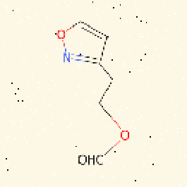 O=COCCc1ccon1